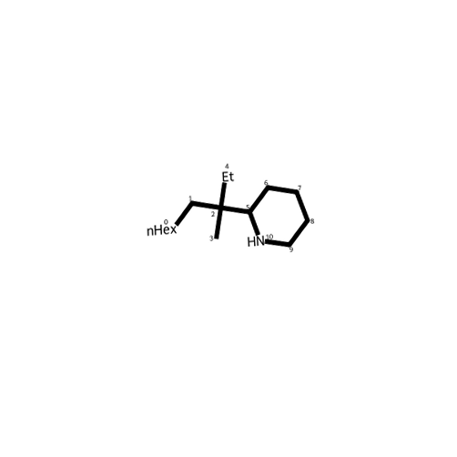 CCCCCCCC(C)(CC)C1CCCCN1